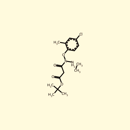 CC.Cc1cc(Cl)ccc1ON(N)C(=O)CC(=O)OC(C)(C)C